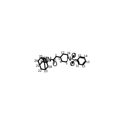 O=C(CC1CCN(S(=O)(=O)c2ccccc2)CC1)NC12CC3CC(CC(C3)C1)C2